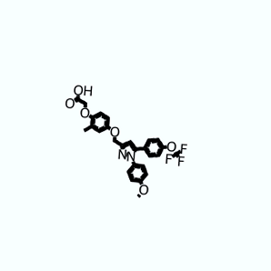 COc1ccc(-n2nc(COc3ccc(OCC(=O)O)c(C)c3)cc2-c2ccc(OC(F)(F)F)cc2)cc1